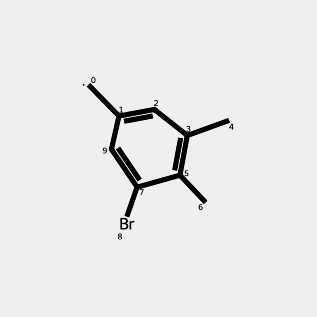 [CH2]c1cc(C)c(C)c(Br)c1